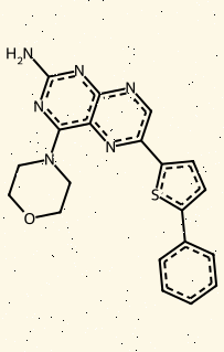 Nc1nc(N2CCOCC2)c2nc(-c3ccc(-c4ccccc4)s3)cnc2n1